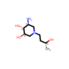 C[C@@H](O)CCN1C[C@@H](O)[C@H](O)[C@@H](N)C1